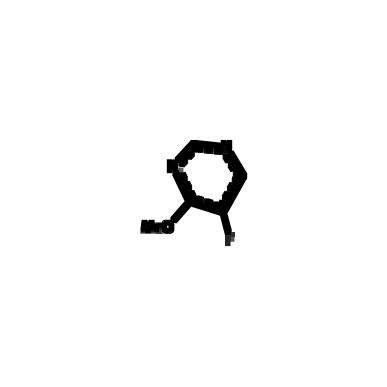 COc1ncncc1F